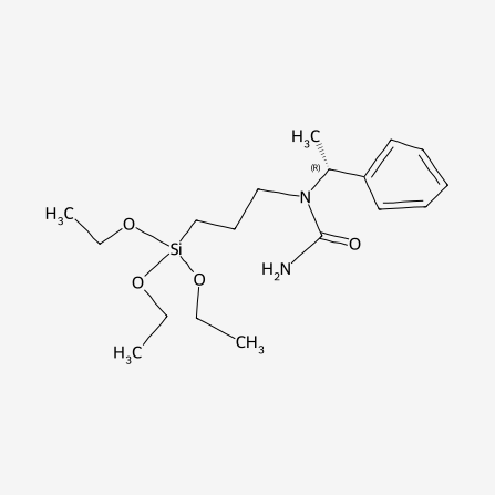 CCO[Si](CCCN(C(N)=O)[C@H](C)c1ccccc1)(OCC)OCC